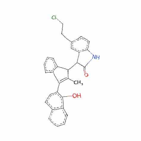 CC1=C(c2ccc3ccccc3c2O)c2ccccc2C1C1C(=O)Nc2ccc(CCCl)cc21